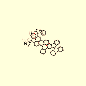 CC1(C)c2ccccc2-c2cc(N(c3ccccc3-c3ccc4c(c3)C3(c5ccccc5-c5ccccc53)c3ccccc3-4)c3ccccc3-c3cccc4c3-c3ccccc3C4(C)C)ccc21